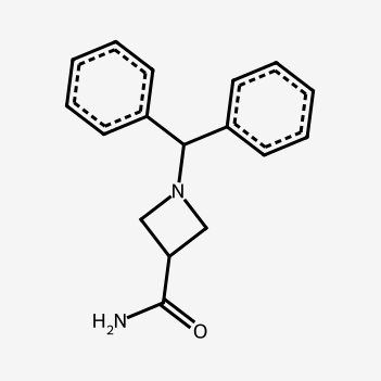 NC(=O)C1CN(C(c2ccccc2)c2ccccc2)C1